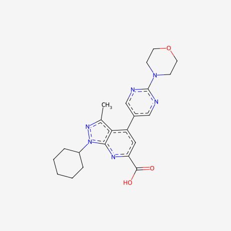 Cc1nn(C2CCCCC2)c2nc(C(=O)O)cc(-c3cnc(N4CCOCC4)nc3)c12